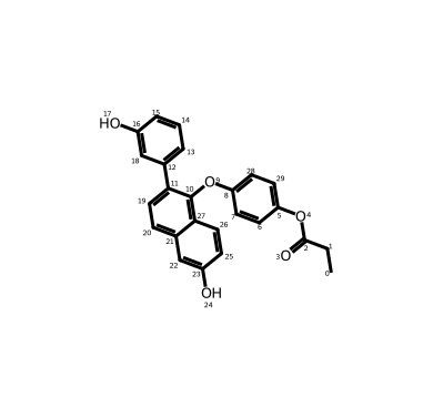 CCC(=O)Oc1ccc(Oc2c(-c3cccc(O)c3)ccc3cc(O)ccc23)cc1